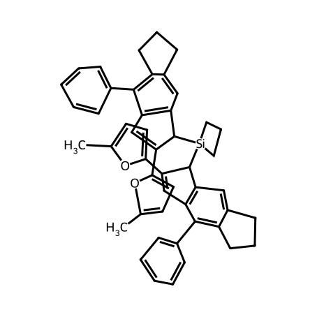 Cc1ccc(C2=Cc3c(cc4c(c3-c3ccccc3)CCC4)C2[Si]2(C3C(c4ccc(C)o4)=Cc4c3cc3c(c4-c4ccccc4)CCC3)CCC2)o1